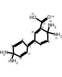 NC1(N)C=CC(=C2C=CC(N)(N)C(C(=O)O)=C2)C=C1